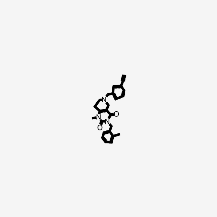 C#Cc1cccc(CN2CCc3c(c(=O)n(Cc4ccccc4C)c(=O)n3C)C2)c1